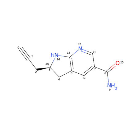 C#CC[C@@H]1Cc2cc(C(N)=O)cnc2N1